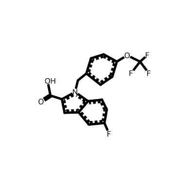 O=C(O)c1cc2cc(F)ccc2n1Cc1ccc(OC(F)(F)F)cc1